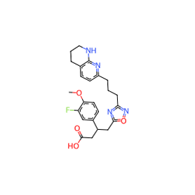 COc1ccc(C(CC(=O)O)Cc2nc(CCCc3ccc4c(n3)NCCC4)no2)cc1F